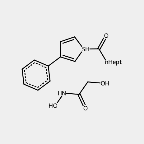 CCCCCCCC(=O)[SH]1C=CC(c2ccccc2)=C1.O=C(CO)NO